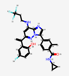 C=C(c1cc(NCCC(F)(F)F)c2ncc(-c3ccc(C(=O)NC4CC4)c(C)c3)n2n1)c1cc(F)ccc1O